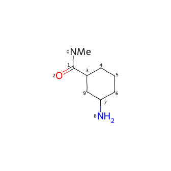 CNC(=O)C1CCCC(N)C1